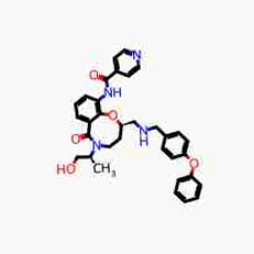 C[C@@H](CO)N1CC[C@H](CNCc2ccc(Oc3ccccc3)cc2)Oc2c(NC(=O)c3ccncc3)cccc2C1=O